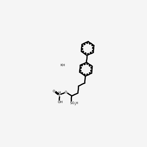 O=[PH](O)OC(CCCc1ccc(-c2ccccc2)cc1)S(=O)(=O)O.[KH]